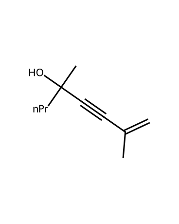 C=C(C)C#CC(C)(O)CCC